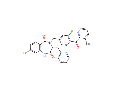 Cc1cccnc1C(=O)c1ccc(CN2C(=O)c3ccc(Cl)cc3NC(=O)C2Cc2ccccn2)cc1F